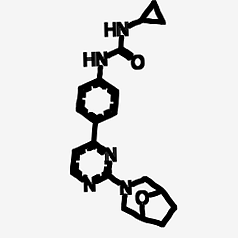 O=C(Nc1ccc(-c2ccnc(N3CC4CCC(C3)O4)n2)cc1)NC1CC1